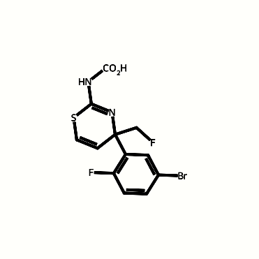 O=C(O)NC1=NC(CF)(c2cc(Br)ccc2F)C=CS1